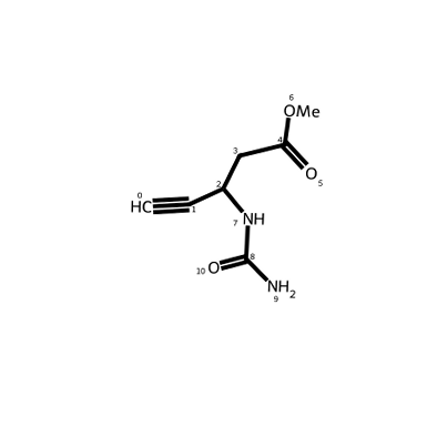 C#CC(CC(=O)OC)NC(N)=O